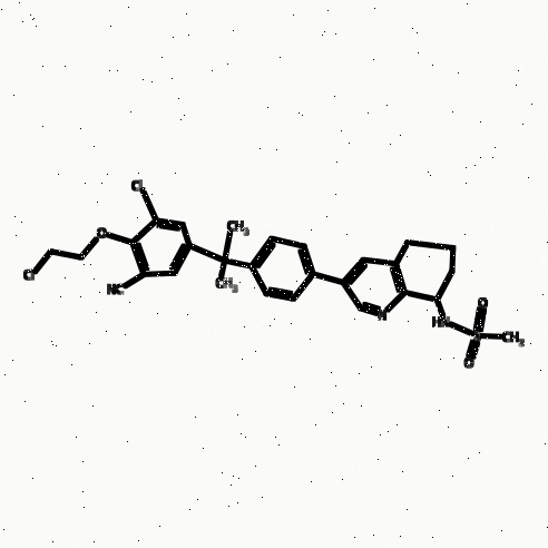 CC(C)(c1ccc(-c2cnc3c(c2)CCCC3NS(C)(=O)=O)cc1)c1cc(Cl)c(OCCCl)c(C#N)c1